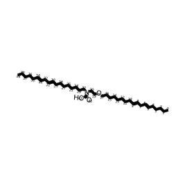 CCCCCC=CCC=CCCCCCCCCOCCN(CCCCCCCCC=CCC=CCCCCC)C(=O)O